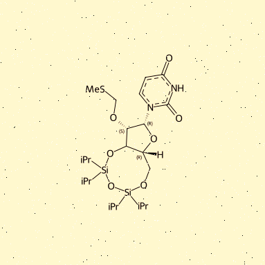 CSCO[C@H]1C2O[Si](C(C)C)(C(C)C)O[Si](C(C)C)(C(C)C)OC[C@H]2O[C@H]1n1ccc(=O)[nH]c1=O